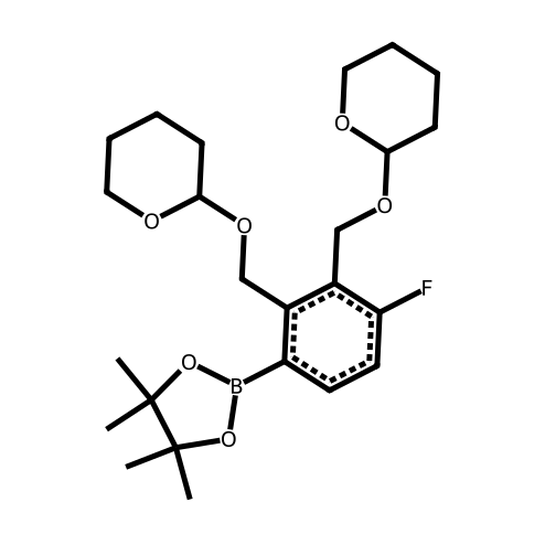 CC1(C)OB(c2ccc(F)c(COC3CCCCO3)c2COC2CCCCO2)OC1(C)C